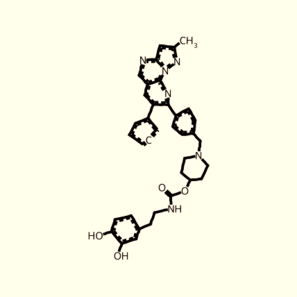 Cc1cc2ncc3cc(-c4ccccc4)c(-c4ccc(CN5CCC(OC(=O)NCCc6ccc(O)c(O)c6)CC5)cc4)nc3n2n1